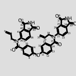 C=CCN(C(=O)c1ccc(Oc2ccc(C(=O)N(CC=C)c3ccc4c(c3)C(=O)NC4=O)cc2)cc1)c1ccc2c(c1)C(=O)NC2=O